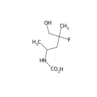 CC(CC(C)(F)CO)NC(=O)O